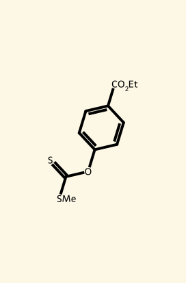 CCOC(=O)c1ccc(OC(=S)SC)cc1